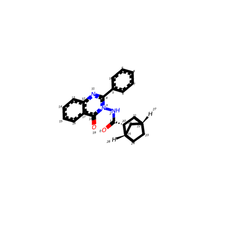 O=C(Nn1c(-c2ccccc2)nc2ccccc2c1=O)[C@@H]1C[C@@H]2CC[C@H]1C2